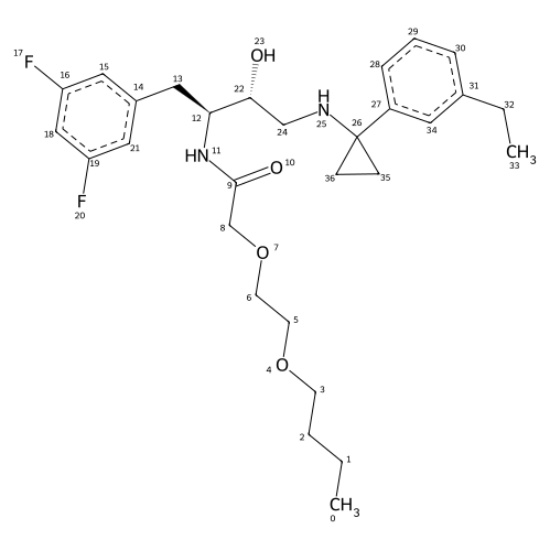 CCCCOCCOCC(=O)N[C@@H](Cc1cc(F)cc(F)c1)[C@H](O)CNC1(c2cccc(CC)c2)CC1